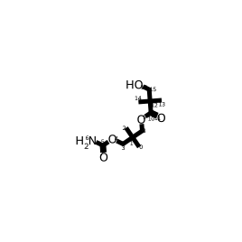 CC(C)(COC(N)=O)COC(=O)C(C)(C)CO